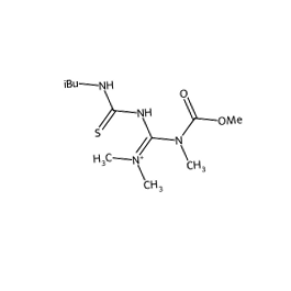 CCC(C)NC(=S)NC(N(C)C(=O)OC)=[N+](C)C